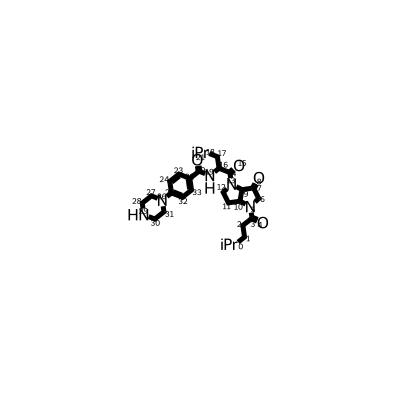 CC(C)CCC(=O)N1CC(=O)C2C1CCN2C(=O)C(CC(C)C)NC(=O)c1ccc(N2CCNCC2)cc1